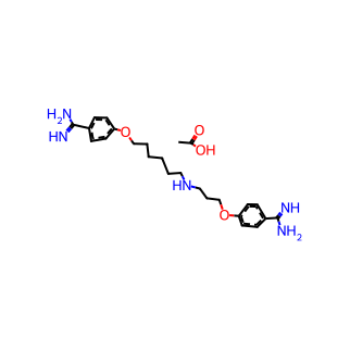 CC(=O)O.N=C(N)c1ccc(OCCCCCCNCCCOc2ccc(C(=N)N)cc2)cc1